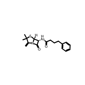 C=C1N2C(=O)[C@@H]([AsH]C(=O)CCCc3ccccc3)[C@H]2SC1(C)C